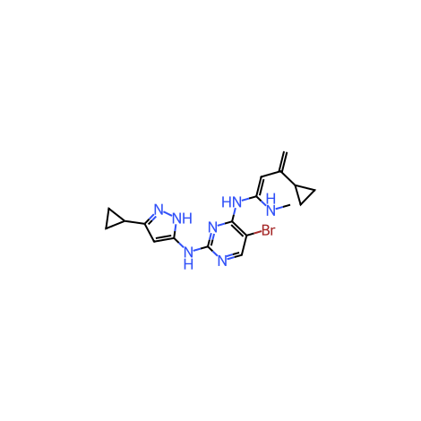 C=C(/C=C(\NC)Nc1nc(Nc2cc(C3CC3)n[nH]2)ncc1Br)C1CC1